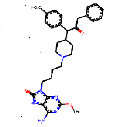 CCCCOc1nc(N)c2[nH]c(=O)n(CCCCN3CCC(C(C(=O)Cc4ccccc4)c4ccc(C(=O)O)cc4)CC3)c2n1